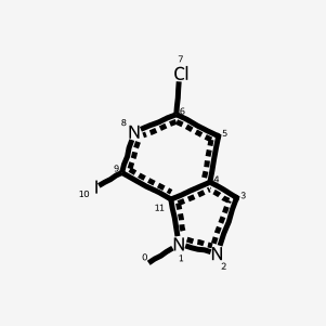 Cn1ncc2cc(Cl)nc(I)c21